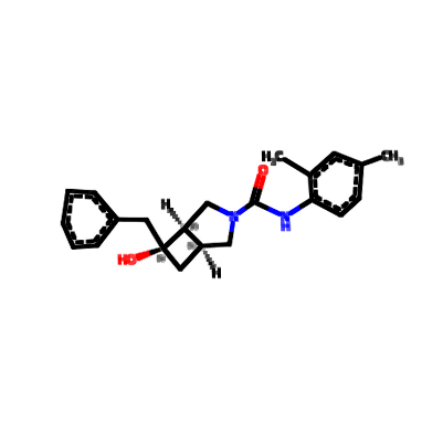 Cc1ccc(NC(=O)N2C[C@H]3C[C@](O)(Cc4ccccc4)[C@H]3C2)c(C)c1